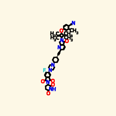 Cc1cc(O[C@H]2C(C)(C)[C@H](N3Cc4nc(C#C[C@H]5CC[C@H](N6CCN(c7cc8c(cc7F)C(=O)N(C7CCC(=O)NC7=O)C8=O)CC6)CC5)ccc4C3=O)C2(C)C)ccc1C#N